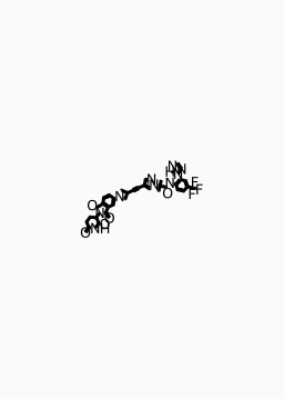 CC(C)(C(=O)Nc1ccc(C(F)(F)F)cc1-n1cncn1)n1cc(C#CC2CN(c3ccc4c(c3)C(=O)N(C3CCC(=O)NC3=O)C4=O)C2)cn1